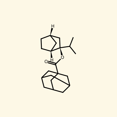 CC(C)[C@@]1(OC(=O)C23CC4CC(CC(C4)C2)C3)C[C@H]2CC[C@@H]1C2